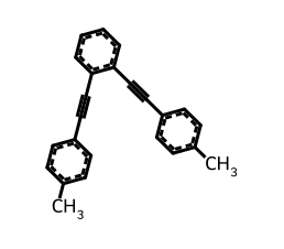 Cc1ccc(C#Cc2ccccc2C#Cc2ccc(C)cc2)cc1